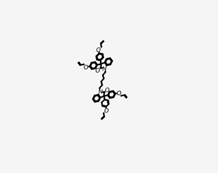 C=CCOC1=CCC(C2(c3ccc(OCC=C)cc3)C(=O)N(CCCCCCN3C(=O)C(c4ccc(OCC=C)cc4)(c4ccc(OCC=C)cc4)c4ccccc43)c3ccccc32)C=C1